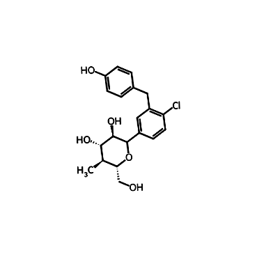 C[C@H]1[C@H](O)[C@@H](O)C(c2ccc(Cl)c(Cc3ccc(O)cc3)c2)O[C@@H]1CO